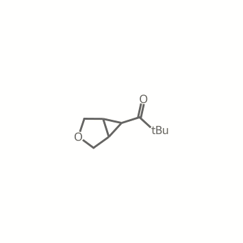 CC(C)(C)C(=O)C1C2COCC21